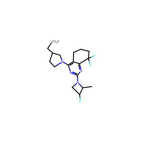 CC1C(F)CN1c1nc(N2CCC(CC(=O)O)C2)c2c(n1)C(F)(F)CCC2